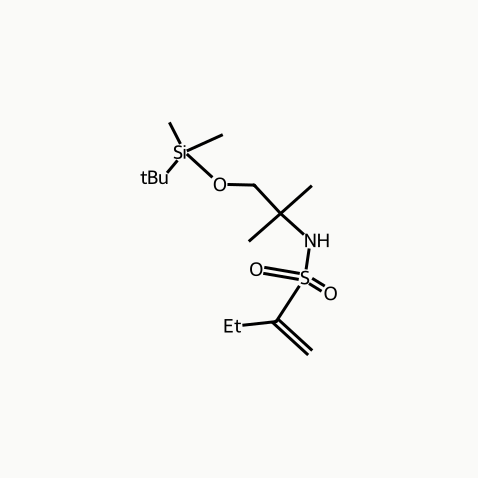 C=C(CC)S(=O)(=O)NC(C)(C)CO[Si](C)(C)C(C)(C)C